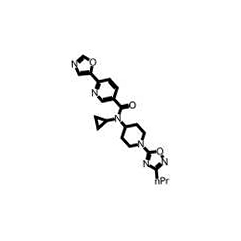 CCCc1noc(N2CCC(N(C(=O)c3ccc(-c4cnco4)nc3)C3CC3)CC2)n1